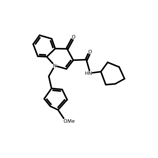 COc1ccc(Cn2cc(C(=O)NC3CCCCC3)c(=O)c3ccccc32)cc1